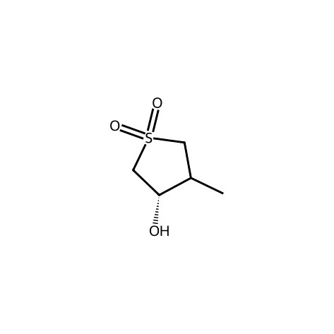 CC1CS(=O)(=O)C[C@H]1O